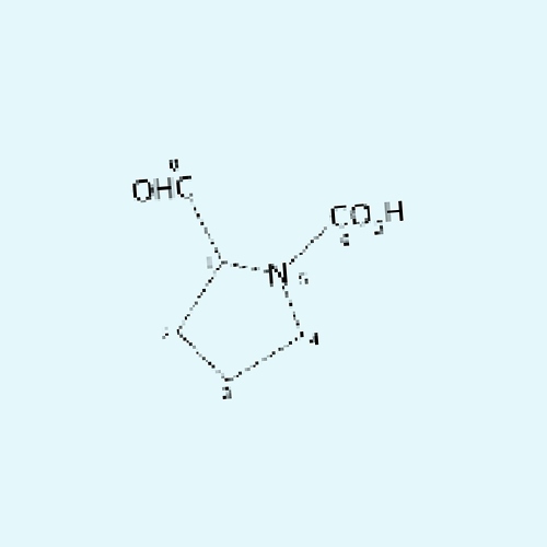 O=CC1CCCN1C(=O)O